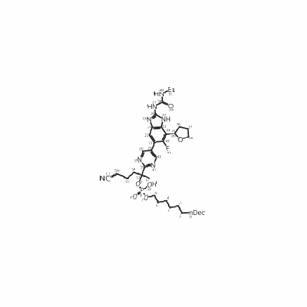 CCCCCCCCCCCCCCCCOP(=O)(O)OC(C)(CCCC#N)c1ncc(-c2cc3nc(NC(=O)NCC)[nH]c3c([C@H]3CCCO3)c2F)cn1